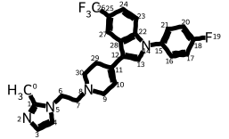 Cc1nccn1CCN1CC=C(c2cn(-c3ccc(F)cc3)c3ccc(C(F)(F)F)cc23)CC1